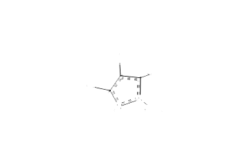 Cc1c(C=O)c(I)nn1C